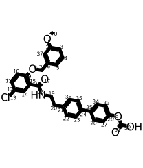 COc1cccc(COc2ccc(Cl)cc2C(=O)NCCc2ccc(-c3ccc(OC(=O)O)cc3)cc2)c1